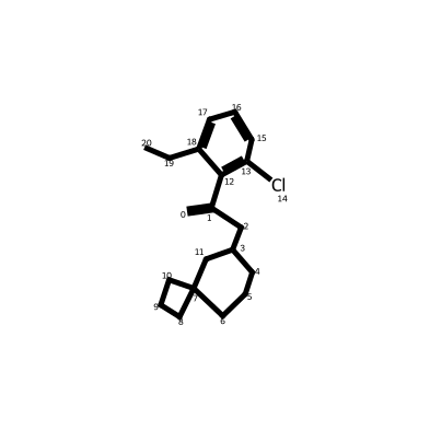 C=C(CC1CCCC2(CCC2)C1)c1c(Cl)cccc1CC